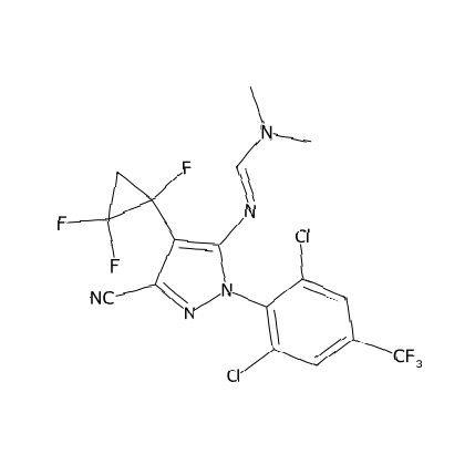 CN(C)C=Nc1c(C2(F)CC2(F)F)c(C#N)nn1-c1c(Cl)cc(C(F)(F)F)cc1Cl